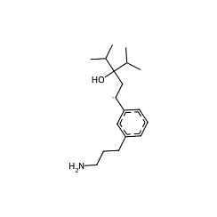 CC(C)C(O)(C[CH]c1cccc(CCCN)c1)C(C)C